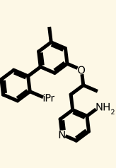 Cc1cc(OC(C)Cc2cnccc2N)cc(-c2ccccc2C(C)C)c1